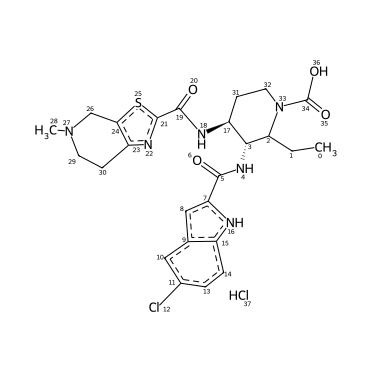 CCC1[C@H](NC(=O)c2cc3cc(Cl)ccc3[nH]2)[C@@H](NC(=O)c2nc3c(s2)CN(C)CC3)CCN1C(=O)O.Cl